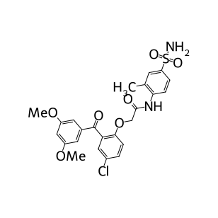 COc1cc(OC)cc(C(=O)c2cc(Cl)ccc2OCC(=O)Nc2ccc(S(N)(=O)=O)cc2C)c1